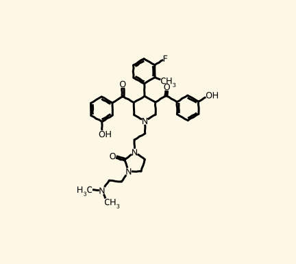 Cc1c(F)cccc1C1C(C(=O)c2cccc(O)c2)CN(CCN2CCN(CCN(C)C)C2=O)CC1C(=O)c1cccc(O)c1